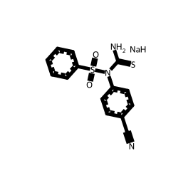 N#Cc1ccc(N(C(N)=S)S(=O)(=O)c2ccccc2)cc1.[NaH]